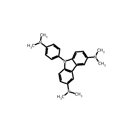 CN(C)c1ccc(-n2c3ccc(N(C)C)cc3c3cc(N(C)C)ccc32)cc1